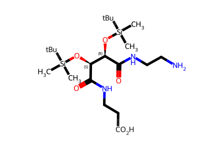 CC(C)(C)[Si](C)(C)O[C@H](C(=O)NCCC(=O)O)[C@@H](O[Si](C)(C)C(C)(C)C)C(=O)NCCN